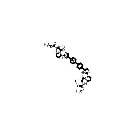 COC(=O)NC(C)C(=O)N1CCC[C@H]1c1ncc(C23CCC(c4ccc(-c5cnc([C@@H]6CCCN6C(=O)[C@@H](C)NC(=O)OC)[nH]5)cc4)(CC2)CC3)[nH]1